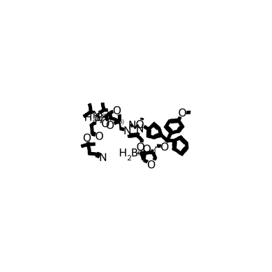 B[C@@H]1O[C@@]2(COC(c3ccccc3)(c3ccc(OC)cc3)c3ccc(OC)cc3)COC1C2OCc1cn(C[C@]23COC(C2OP(CC(=O)OC(C)(C)CC#N)N(C(C)C)C(C)C)[C@H](B)O3)nn1